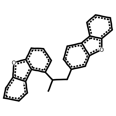 C[C](Cc1ccc2c(c1)oc1ccccc12)c1cccc2oc3ccccc3c12